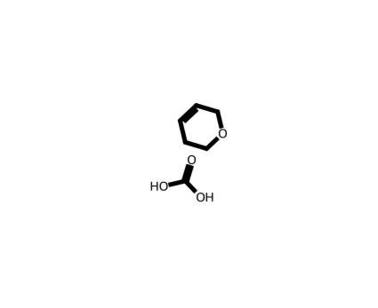 C1=CCOCC1.O=C(O)O